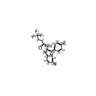 O=C(CCC(F)(F)F)Nc1nc2ccc(F)cn2c1-c1ccc(F)cc1